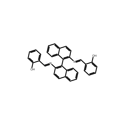 Oc1ccccc1/C=N/c1ccc2ccccc2c1-c1c(/N=C/c2ccccc2O)ccc2ccccc12